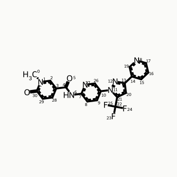 Cn1cc(C(=O)Nc2ccc(-n3nc(-c4cccnc4)cc3C(F)(F)F)cn2)ccc1=O